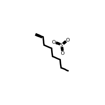 C=CCCCCCC.O=S(=O)=O